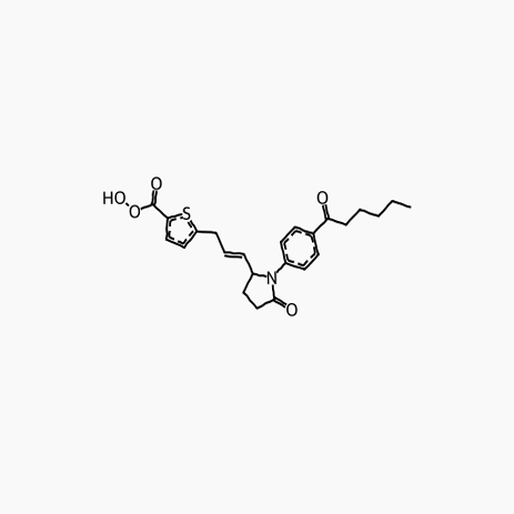 CCCCCC(=O)c1ccc(N2C(=O)CCC2C=CCc2ccc(C(=O)OO)s2)cc1